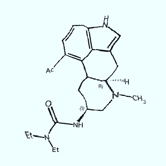 CCN(CC)C(=O)N[C@H]1CC2c3c(C(C)=O)ccc4[nH]cc(c34)C[C@H]2N(C)C1